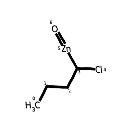 CCC[CH](Cl)[Zn]=[O]